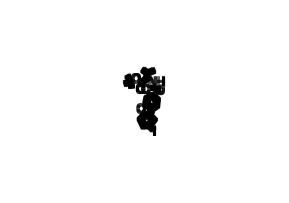 CC(C)C(NS(=O)(=O)c1ccc2c(c1)oc1ccc(I)cc12)C(=O)OC(C)(C)C